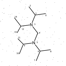 CC(C)N([CH]N(C(C)C)C(C)C)C(C)C